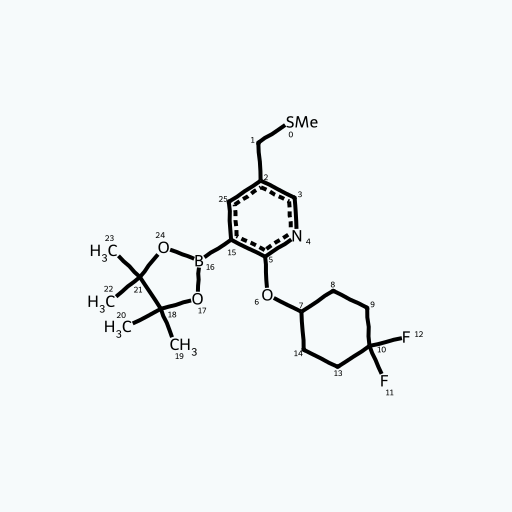 CSCc1cnc(OC2CCC(F)(F)CC2)c(B2OC(C)(C)C(C)(C)O2)c1